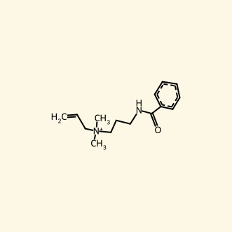 C=CC[N+](C)(C)CCCNC(=O)c1ccccc1